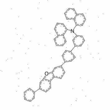 c1ccc(-c2ccc3c(c2)oc2cc(-c4ccc(-c5cccc(N(c6cccc7ccccc67)c6cccc7ccccc67)c5)cc4)ccc23)cc1